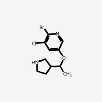 CC(Oc1cnc(Br)c(Cl)c1)C1CCNC1